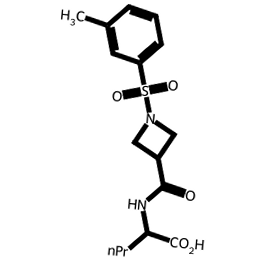 CCCC(NC(=O)C1CN(S(=O)(=O)c2cccc(C)c2)C1)C(=O)O